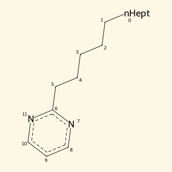 CCCCCCCCCCCCc1ncccn1